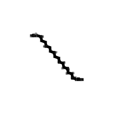 CCCCCCCCOCCOCCOCCOCCOCCOCCCCCC